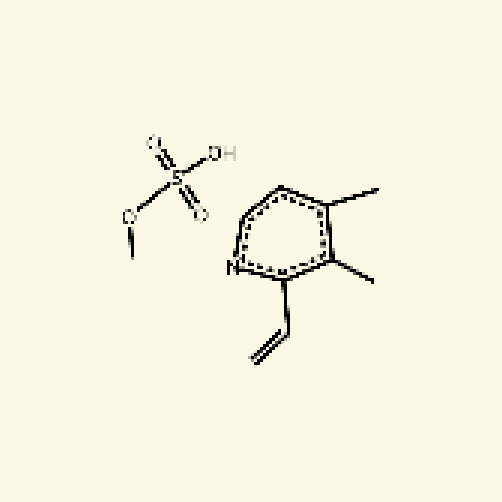 C=Cc1nccc(C)c1C.COS(=O)(=O)O